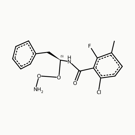 Cc1ccc(Cl)c(C(=O)N[C@H](Cc2ccccc2)OON)c1F